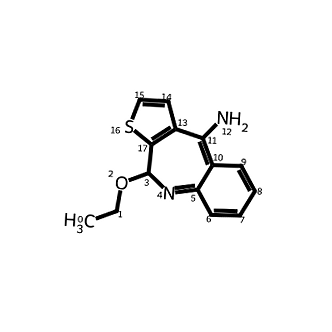 CCOC1N=c2ccccc2=C(N)c2ccsc21